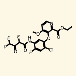 CCOC(=O)c1nccc(OC)c1Oc1cc(NC(=O)C(F)C(=O)C(F)F)c(F)cc1Cl